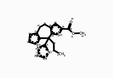 CCCC1(c2nn[nH]n2)c2sccc2CCc2cc(C(=O)OC)sc21